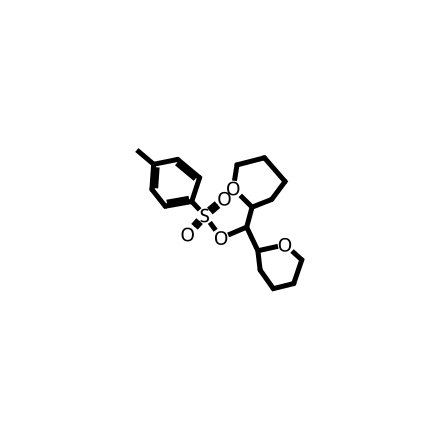 Cc1ccc(S(=O)(=O)OC(C2CCCCO2)C2CCCCO2)cc1